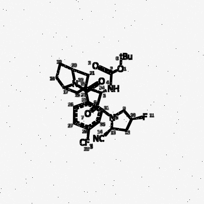 CC(C)(C)OC(=O)N[C@H](C(=O)N1C[C@@H](F)C[C@H]1C#N)C1CC2CCC(C1)N2C(=O)c1ccc(C(F)(F)F)cc1